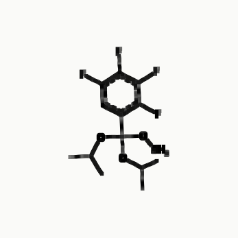 CC(C)OC(O[SiH3])(OC(C)C)c1cc(F)c(F)c(F)c1F